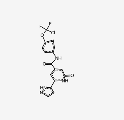 O=C(Nc1ccc(OC(F)(F)Cl)cc1)c1cc(-c2ccn[nH]2)[nH]c(=O)c1